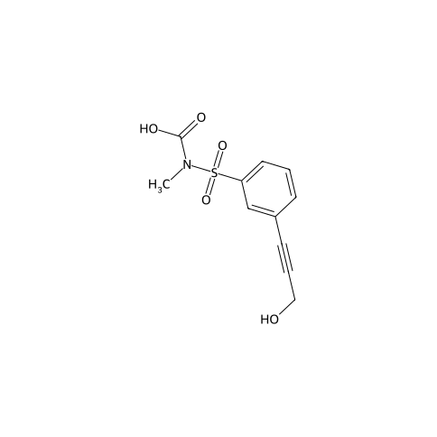 CN(C(=O)O)S(=O)(=O)c1cccc(C#CCO)c1